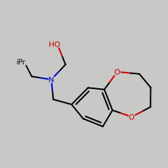 CC(C)CN(CO)Cc1ccc2c(c1)OCCCO2